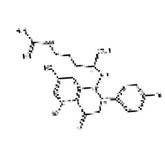 N=C(N)NCCC[C@H](N[O+]1c2cc(O)cc(O)c2C(=O)C[C@H]1c1ccc(O)cc1)C(=O)O